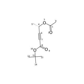 CC(=O)O[C@@H](C)C#CC(=O)OC(C)(C)C